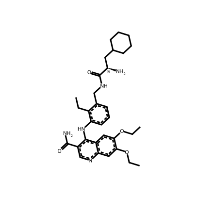 CCOc1cc2ncc(C(N)=O)c(Nc3cccc(CNC(=O)[C@H](N)CC4CCCCC4)c3CC)c2cc1OCC